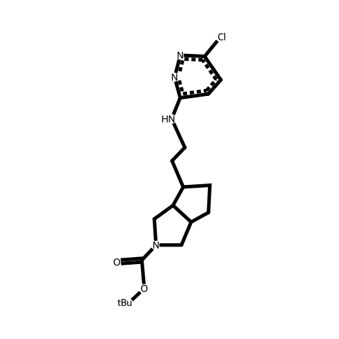 CC(C)(C)OC(=O)N1CC2CCC(CCNc3ccc(Cl)nn3)C2C1